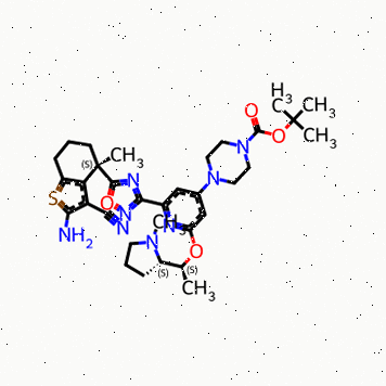 C[C@H](Oc1cc(N2CCN(C(=O)OC(C)(C)C)CC2)cc(-c2noc([C@@]3(C)CCCc4sc(N)c(C#N)c43)n2)n1)[C@@H]1CCCN1C